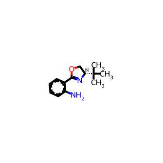 CC(C)(C)[C@H]1COC(c2ccccc2N)=N1